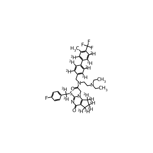 [2H]c1c([2H])c(-c2c([2H])c([2H])c(C(F)(F)F)c(C)c2[2H])c([2H])c([2H])c1CN(CCN(CC)CC)C(=O)Cn1c(SC([2H])([2H])c2ccc(F)cc2)nc(=O)c2c1C([2H])([2H])C([2H])([2H])C2([2H])[2H]